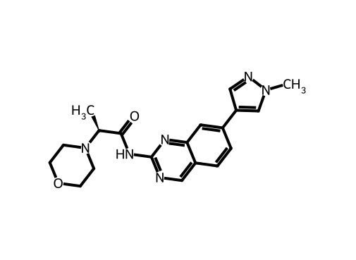 C[C@@H](C(=O)Nc1ncc2ccc(-c3cnn(C)c3)cc2n1)N1CCOCC1